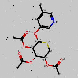 CC(=O)O[C@@H]1[C@@H](OC(C)=O)[C@@H](Oc2cncc(C)c2)SC[C@H]1OC(C)=O